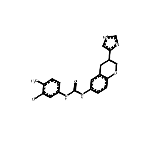 Cc1ccc(NC(=O)Nc2ccc3c(c2)CC(c2c[nH]cn2)CO3)cc1Cl